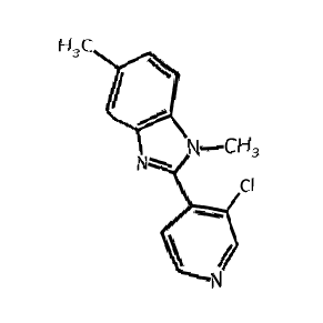 Cc1ccc2c(c1)nc(-c1ccncc1Cl)n2C